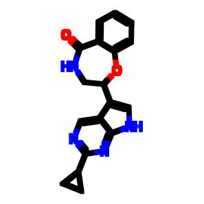 O=C1NCC(c2c[nH]c3nc(C4CC4)ncc23)Oc2ccccc21